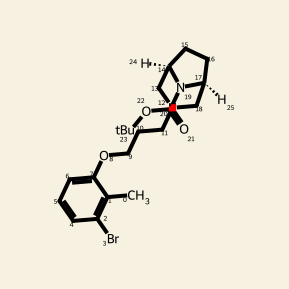 Cc1c(Br)cccc1OCCCN1C[C@H]2CC[C@@H](C1)N2C(=O)OC(C)(C)C